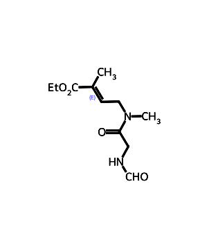 CCOC(=O)/C(C)=C/CN(C)C(=O)CNC=O